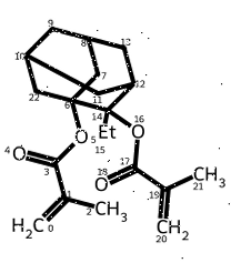 C=C(C)C(=O)OC12CC3CC(CC(C3)C1(CC)OC(=O)C(=C)C)C2